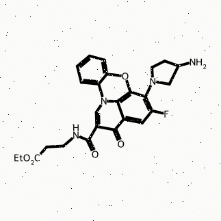 CCOC(=O)CCNC(=O)c1cn2c3c(c(N4CCC(N)C4)c(F)cc3c1=O)Oc1ccccc1-2